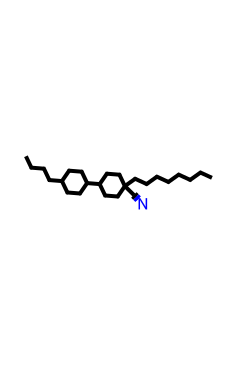 CCCCCCCCC1(C#N)CCC(C2CCC(CCCC)CC2)CC1